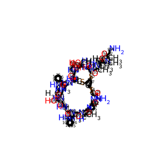 CC(C)[C@@H]1NC(=O)[C@H](Cc2c[nH]c3ccccc23)NC(=O)[C@@H]2CSc3cc(cc(c3)SC[C@H](NC(=O)[C@H](C)NC(C)(C)C(=O)CN(C)C(C)(C)C(=O)CCN)C(=O)N[C@@H]([C@@H](C)O)C(=O)N[C@@H](CCC(=O)O)C(=O)N2)SC[C@@H](C(N)=O)NC(=O)[C@@H]2CCCN2C(=O)[C@H](C(C)C)NC(=O)[C@H](Cc2c[nH]c3ccccc23)NC(=O)CNC(=O)[C@H](CC(=O)O)NC1=O